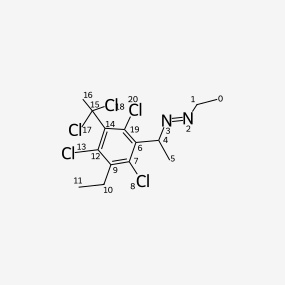 CCN=NC(C)c1c(Cl)c(CC)c(Cl)c(C(C)(Cl)Cl)c1Cl